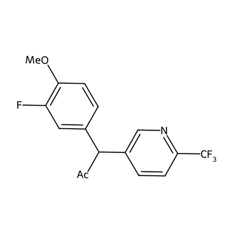 COc1ccc(C(C(C)=O)c2ccc(C(F)(F)F)nc2)cc1F